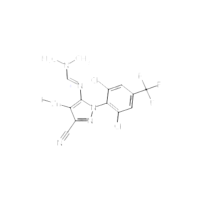 CN(C)/C=N/c1[c]([Zn][I])c(C#N)nn1-c1c(Cl)cc(C(F)(F)F)cc1Cl